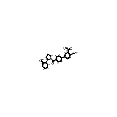 N#Cc1ccc(-c2ccc(C(=O)N3CCC[C@@H]3c3ccccc3Cl)cc2)cc1C(N)=O